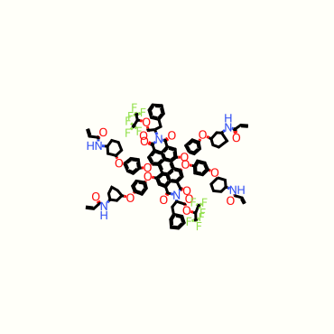 C=CC(=O)NC1CCCC(Oc2ccc(Oc3cc4c5c(cc(Oc6ccc(OC7CCCC(NC(=O)C=C)C7)cc6)c6c7c(Oc8ccc(OC9CCCC(NC(=O)C=C)C9)cc8)cc8c9c(cc(Oc%10ccc(OC%11CCCC(NC(=O)C=C)C%11)cc%10)c(c3c56)c97)C(=O)N(C(Cc3ccccc3)C(=O)OC(C(F)(F)F)C(F)(F)F)C8=O)C(=O)N(C(Cc3ccccc3)C(=O)OC(C(F)(F)F)C(F)(F)F)C4=O)cc2)C1